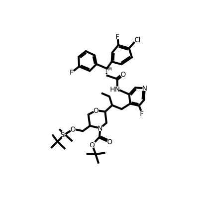 CCC(Cc1c(F)cncc1NC(=O)C[C@H](c1cccc(F)c1)c1ccc(Cl)c(F)c1)C1CN(C(=O)OC(C)(C)C)C(CO[Si](C)(C)C(C)(C)C)CO1